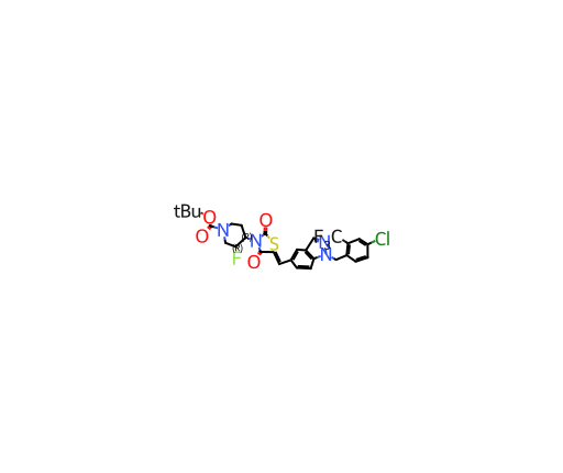 CC(C)(C)OC(=O)N1CC[C@@H](N2C(=O)SC(=Cc3ccc4c(cnn4Cc4ccc(Cl)cc4C(F)(F)F)c3)C2=O)[C@H](F)C1